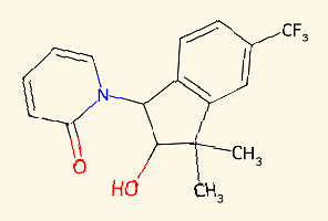 CC1(C)c2cc(C(F)(F)F)ccc2C(n2ccccc2=O)C1O